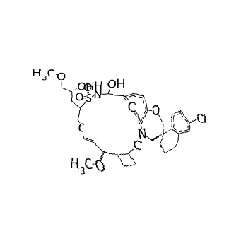 COC[C@H](O)CC1CC/C=C/[C@H](OC)C2CCC2CN2C[C@@]3(CCCc4cc(Cl)ccc43)COc3ccc(cc32)C(O)NS1(=O)=O